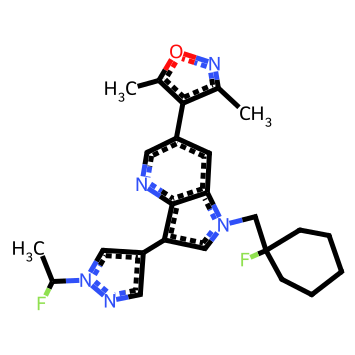 Cc1noc(C)c1-c1cnc2c(-c3cnn(C(C)F)c3)cn(CC3(F)CCCCC3)c2c1